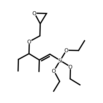 CCO[Si](C=C(C)C(CC)OCC1CO1)(OCC)OCC